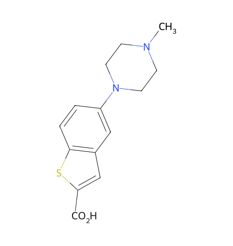 CN1CCN(c2ccc3sc(C(=O)O)cc3c2)CC1